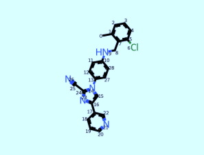 Cc1cccc(Cl)c1CNc1ccc(-n2cc(-c3cccnc3)nc2C#N)cc1